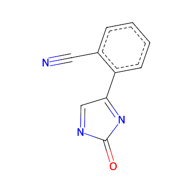 N#Cc1ccccc1C1=NC(=O)N=C1